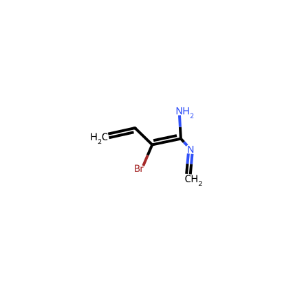 C=C/C(Br)=C(\N)N=C